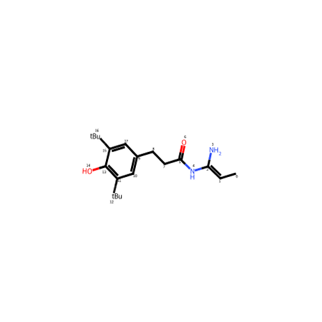 CC=C(N)NC(=O)CCc1cc(C(C)(C)C)c(O)c(C(C)(C)C)c1